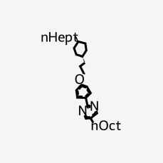 CCCCCCCCc1cnc(-c2ccc(OCCC[C@H]3CC[C@H](CCCCCCC)CC3)cc2)nc1